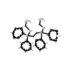 CCO[Si](CC[Si](OCC)(c1ccccc1)c1ccccc1)(c1ccccc1)c1ccccc1